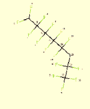 F[C](F)C(F)(F)C(F)(F)C(F)(F)C(F)(F)CC(F)(F)C(F)(F)F